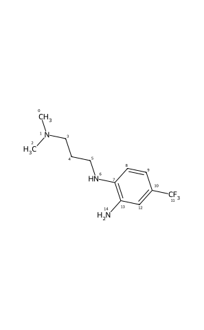 CN(C)CCCNc1ccc(C(F)(F)F)cc1N